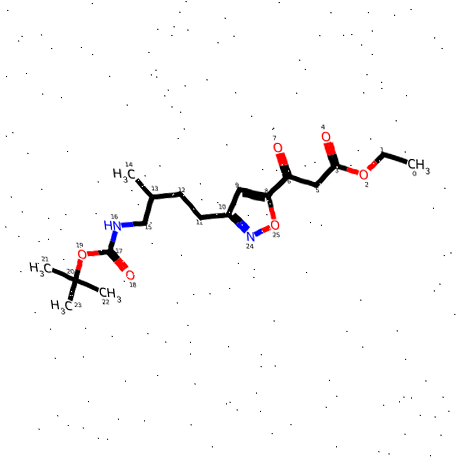 CCOC(=O)CC(=O)c1cc(CCC(C)CNC(=O)OC(C)(C)C)no1